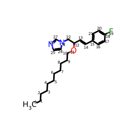 CCCCCCCCCCCOC(C=Cc1ccc(F)cc1)Cn1ccnc1